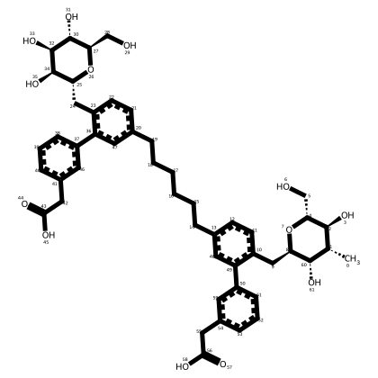 C[C@H]1[C@H](O)[C@@H](CO)O[C@H](Cc2ccc(CCCCCCc3ccc(C[C@H]4O[C@H](CO)[C@@H](O)[C@H](O)[C@@H]4O)c(-c4cccc(CC(=O)O)c4)c3)cc2-c2cccc(CC(=O)O)c2)[C@H]1O